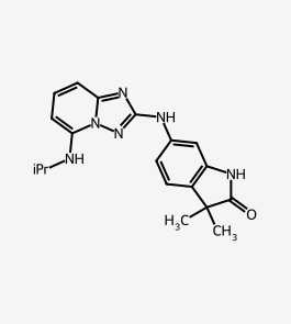 CC(C)Nc1cccc2nc(Nc3ccc4c(c3)NC(=O)C4(C)C)nn12